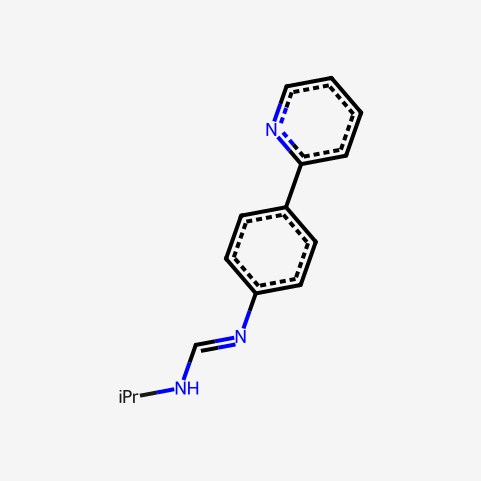 CC(C)N/C=N/c1ccc(-c2ccccn2)cc1